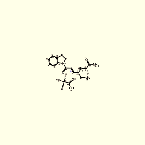 C[C@H](N[C@H](/C=C/C(=O)N1CCc2ccccc21)CC(C)(C)C)C(N)=O.O=C(O)C(F)(F)F